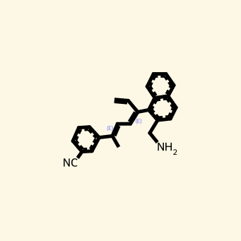 C=C/C(=C\C=C(/C)c1cccc(C#N)c1)c1c(CN)ccc2ccccc12